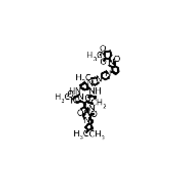 C=CC(=O)Nc1cc(Nc2nc(-c3ccnc(N4CCn5c(cc6c5CC(C)(C)C6)C4=O)c3CO)cnc2OC)ccc1N1CCN(C2CCN(c3cccc4c3CN(C3CCC(=O)N(C)C3=O)C4=O)CC2)C[C@@H]1C